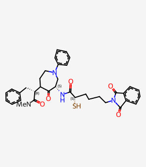 CNC(=O)[C@H](Cc1ccccc1)C1CCN(c2ccccc2)C[C@H](NC(=O)[C@@H](S)CCCCN2C(=O)c3ccccc3C2=O)C1=O